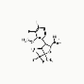 COc1c(C2C(C(N)=O)OC(C)(C(F)(F)F)C2C)ccc(F)c1F